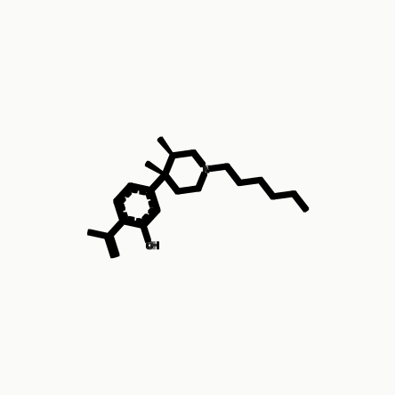 C=C(C)c1ccc([C@@]2(C)CCN(CCCCCC)C[C@@H]2C)cc1O